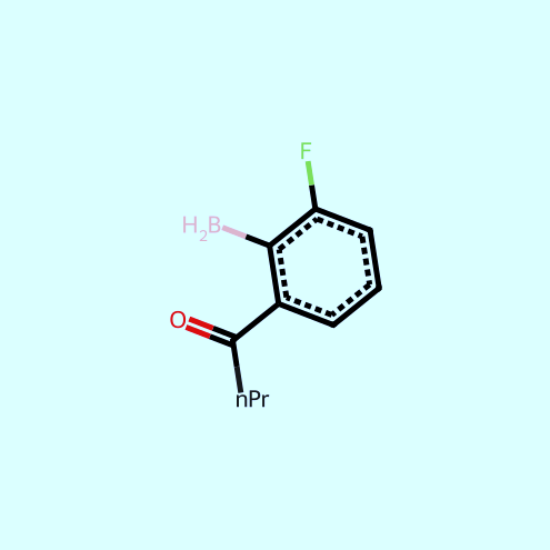 Bc1c(F)cccc1C(=O)CCC